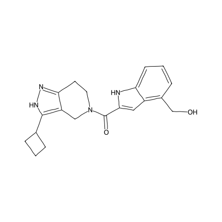 O=C(c1cc2c(CO)cccc2[nH]1)N1CCc2n[nH]c(C3CCC3)c2C1